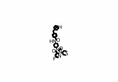 O=C(NC1CCC(n2c(=O)c3cc(F)cnc3n(C3CCSCC3)c2=O)CC1)c1ccc(CC23CCC(CC2)NC3)cc1